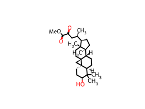 COC(=O)C(=O)C[C@@H](C)[C@H]1CC[C@@]2(C)[C@@H]3CC[C@H]4C(C)(C)[C@@H](O)CC[C@@]45C[C@@]35CC[C@]12C